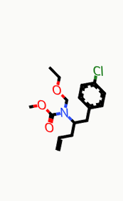 C=CCC(Cc1ccc(Cl)cc1)N(COCC)C(=O)OC